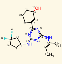 CC=C(Nc1nc(NC2CCC(F)(F)C2)nc(C2=CC(O)CCC2)n1)C(F)(F)F